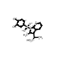 Cc1c(C(C)C(=O)O)c2cccnc2n1S(=O)(=O)c1ccc(Cl)c(Cl)c1